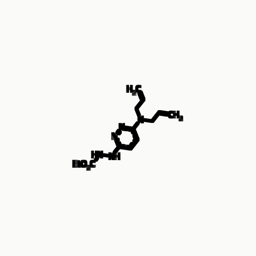 C=CCN(CC=C)c1ccc(NNC(=O)OCC)nn1